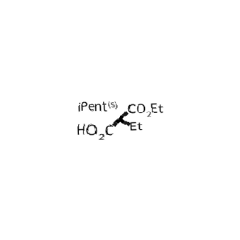 CCC[C@H](C)C(CC)(C(=O)O)C(=O)OCC